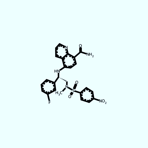 CN(C[C@@H](Nc1ccc(C(N)=O)c2ncccc12)c1cccc(F)c1)S(=O)(=O)c1ccc([N+](=O)[O-])cc1